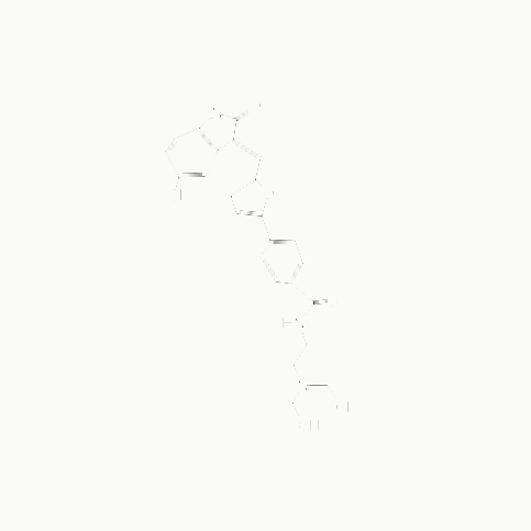 CCN(CC)CCNC(=O)c1ccc(C2=CCC(/C=C3/C(=O)Nc4ccc(Cl)cc43)O2)cc1